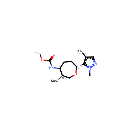 CO[C@H]1CO[C@@H](c2c([N+](=O)[O-])cnn2C)CC[C@@H]1NC(=O)OC(C)(C)C